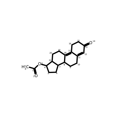 CC(=O)OC1CCC2C3CCC4=CC(=O)CCC4=C3CCC12